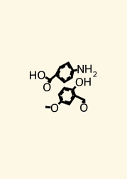 COc1ccc(O)c(C=O)c1.Nc1ccc(C(=O)O)cc1